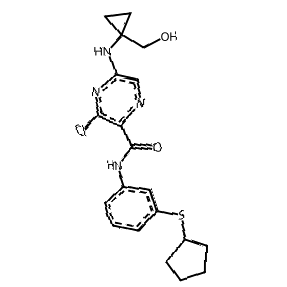 O=C(Nc1cccc(SC2CCCC2)c1)c1ncc(NC2(CO)CC2)nc1Cl